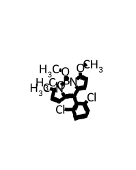 COB(OC)n1c(OC)ccc1/C(=C1/C=CC(C)=N1)c1c(Cl)cccc1Cl